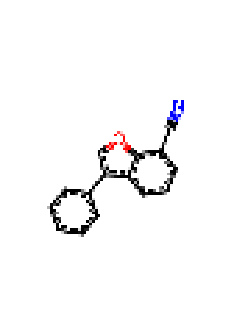 N#Cc1cccc2c(-c3ccccc3)coc12